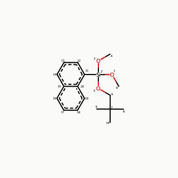 CO[Si](OC)(OCC(C)(C)C)c1cccc2ccccc12